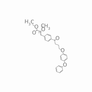 CCOC(=O)[C@H](Cc1ccc(C(=O)CCCOc2ccc(Oc3ccccc3)cc2)cc1)OC